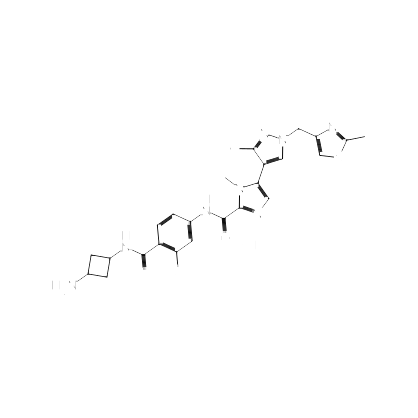 Cc1nc(Cn2cc(-c3cnc(C(=O)Nc4ccc(C(=O)NC5CC(N)C5)c(Cl)c4)n3C)c(C(F)(F)F)n2)cs1.Cl